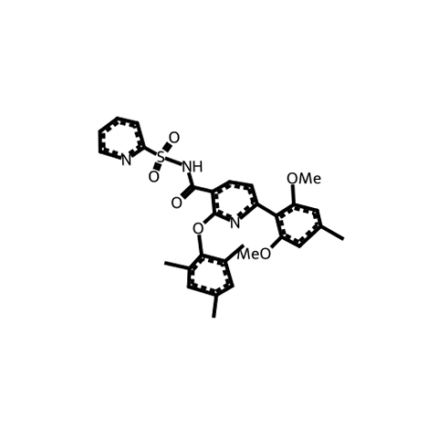 COc1cc(C)cc(OC)c1-c1ccc(C(=O)NS(=O)(=O)c2ccccn2)c(Oc2c(C)cc(C)cc2C)n1